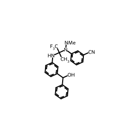 CNN(c1cccc(C#N)c1)C(C)(Nc1cccc(C(O)c2ccccc2)c1)C(F)(F)F